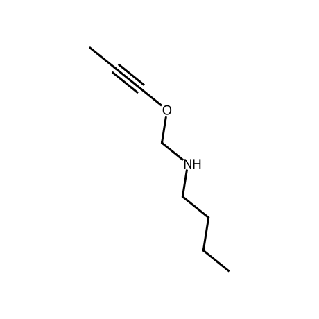 CC#COCNCCCC